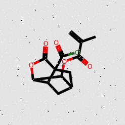 C=C(C)C(=O)OC1C2CC3C1OC(=O)C3(C(=O)Cl)C2